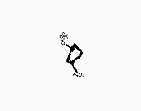 [CH2]CCOc1cccc([N+](=O)[O-])c1